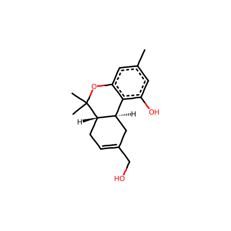 Cc1cc(O)c2c(c1)OC(C)(C)[C@H]1CC=C(CO)C[C@H]21